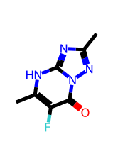 Cc1nc2[nH]c(C)c(F)c(=O)n2n1